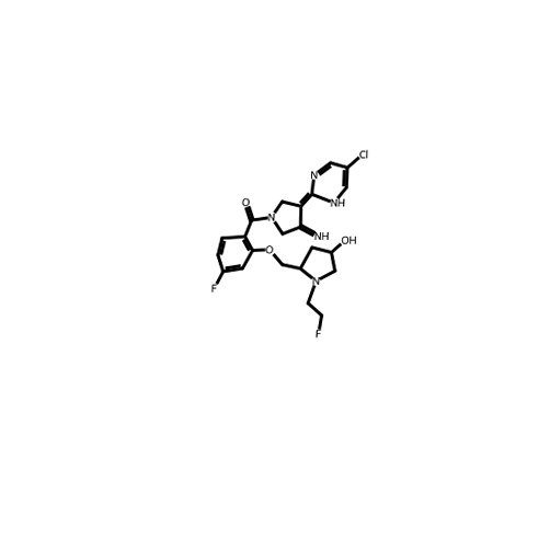 N=C1CN(C(=O)c2ccc(F)cc2OCC2CC(O)CN2CCF)C/C1=C1\N=CC(Cl)=CN1